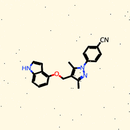 Cc1nn(-c2ccc(C#N)cc2)c(C)c1COc1cccc2[nH]ccc12